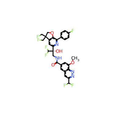 COc1cc(C(=O)NC[C@](O)(c2cc3c(c(-c4ccc(F)cc4)n2)OCC3(CF)CF)C(F)F)cc2cc(C(F)F)nnc12